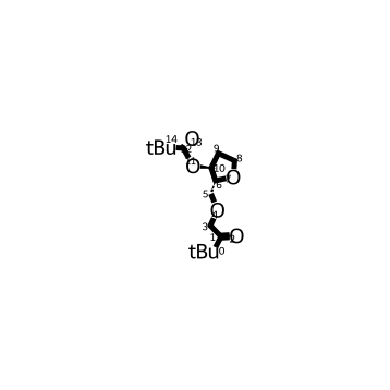 CC(C)(C)C(=O)COC[C@H]1OCC[C@@H]1OC(=O)C(C)(C)C